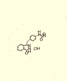 Cl.O=c1[nH]nc(Cc2ccc(N[SH](=O)=O)cc2)c2ccccc12